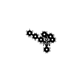 c1ccc(-c2ccc(-c3ccc(-c4nc(-c5ccccc5)nc(-c5cccc6ccc7c8ccccc8sc7c56)n4)cc3)cc2)cc1